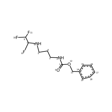 O=C(NCCCNC(F)C(F)F)OCc1ccccc1